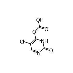 O=C(O)Oc1[nH]c(=O)ncc1Cl